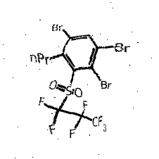 CCCc1c(Br)[c]c(Br)c(Br)c1S(=O)(=O)C(F)(F)C(F)(F)C(F)(F)F